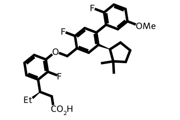 CC[C@H](CC(=O)O)c1cccc(OCc2cc([C@H]3CCCC3(C)C)c(-c3cc(OC)ccc3F)cc2F)c1F